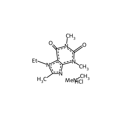 CCn1c(C)nc2c1c(=O)n(C)c(=O)n2C.CNC.Cl